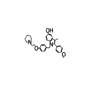 COc1ccc(-c2c(C)c3cc(O)ccc3n2Cc2ccc(OCCN3CCCCC3)cc2)cc1